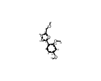 CO[CH]c1nnc(-c2ccc(OC)cc2OC)o1